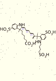 C=C(/C=C/C=C/C=C1/Nc2ccc(S(=O)(=O)O)cc2C1(C)CCCCCC(=O)O)C(C)(C)c1cc(S(=O)(=O)O)ccc1NCCCCS(=O)(=O)O